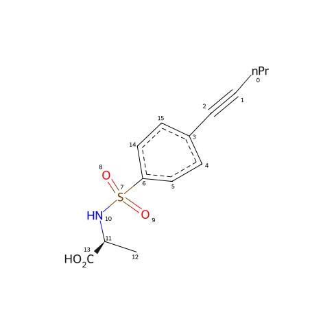 CCCC#Cc1ccc(S(=O)(=O)N[C@@H](C)C(=O)O)cc1